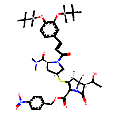 CC(O)[C@H]1C(=O)N2C(C(=O)OCc3ccc([N+](=O)[O-])cc3)=C(S[C@H]3C[C@@H](C(=O)N(C)C)N(C(=O)C=Cc4ccc(O[Si](C)(C)C(C)(C)C)c(O[Si](C)(C)C(C)(C)C)c4)C3)[C@H](C)[C@H]12